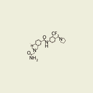 C[C@H]1CN(CC(N)=O)Cc2cc(C(=O)Nc3ccc(CN4CCCC4)c(C(F)(F)F)c3)ccc21